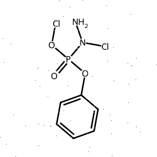 NN(Cl)P(=O)(OCl)Oc1ccccc1